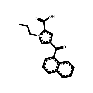 CCCn1cc(C(=O)c2cccc3ccccc23)cc1C(=O)O